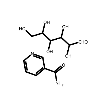 NC(=O)c1cccnc1.O=CC(O)C(O)C(O)C(O)CO